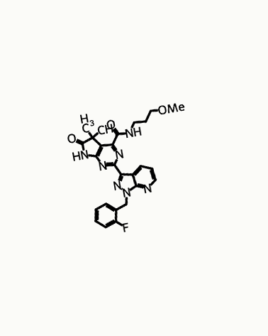 COCCCNC(=O)c1nc(-c2nn(Cc3ccccc3F)c3ncccc23)nc2c1C(C)(C)C(=O)N2